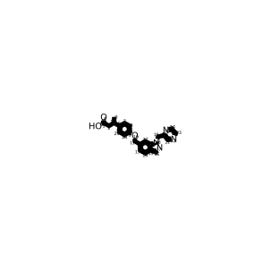 CC(CC(=O)O)c1ccc(OCc2ccc3cnn(Cc4cnccn4)c3c2)cc1